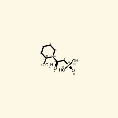 O=C(O)[C@H]1CCCCN1C(=O)CP(=O)(O)O